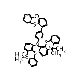 C[Si]1(C)c2ccccc2Sc2c(N(c3ccc(-c4cccc5c4Sc4ccccc4O5)cc3)c3cccc4c3Sc3ccccc3[Si]4(C)C)cccc21